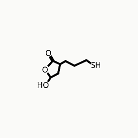 O=C1OC(O)CC1CCCS